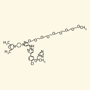 COCCOCCOCCOCCOCCOCCOCCOCCOc1nn([C@H]2CC[C@H](N3C[C@@H](C)O[C@@H](C)C3)CC2)cc1Nc1ncc(-c2ccc(Cl)c(O[C@@H](C)Cn3cncn3)c2)cn1